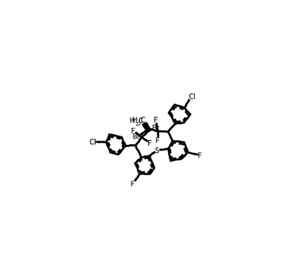 C=C(Br)C(F)(F)C(c1ccc(Cl)cc1)c1cc(F)ccc1Sc1ccc(F)cc1C(c1ccc(Cl)cc1)C(F)(F)C(=C)Br